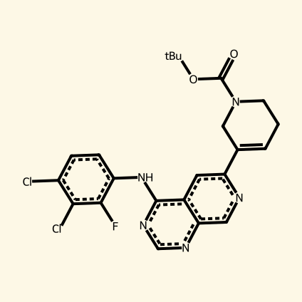 CC(C)(C)OC(=O)N1CCC=C(c2cc3c(Nc4ccc(Cl)c(Cl)c4F)ncnc3cn2)C1